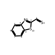 S=[C]c1nc2ccccc2s1